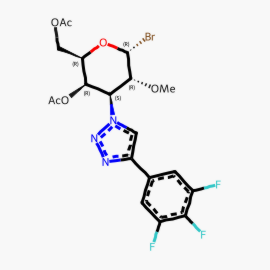 CO[C@@H]1[C@@H](n2cc(-c3cc(F)c(F)c(F)c3)nn2)[C@@H](OC(C)=O)[C@@H](COC(C)=O)O[C@@H]1Br